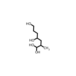 CC(CC(O)CCCO)C(O)O